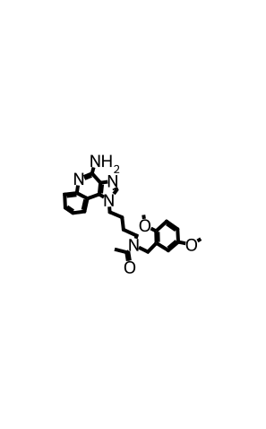 COc1ccc(OC)c(CN(CCCCn2cnc3c(N)nc4ccccc4c32)C(C)=O)c1